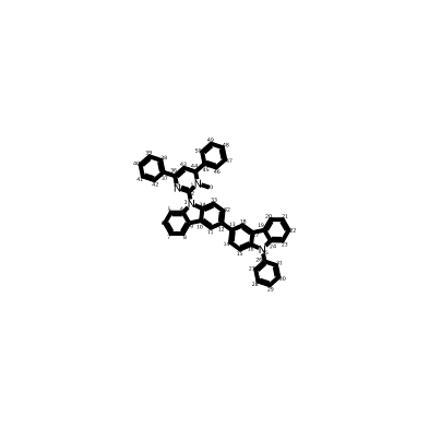 CN1C(n2c3ccccc3c3cc(-c4ccc5c(c4)c4ccccc4n5-c4ccccc4)ccc32)=NC(c2ccccc2)=CC1c1ccccc1